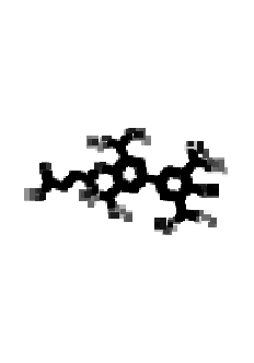 CC(C)c1cc(-c2cc(C(C)C)c(OC(=O)CCC(=O)O)c(C(C)C)c2)cc(C(C)C)c1O